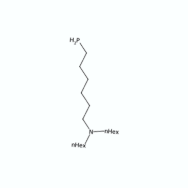 CCCCCCN(CCCCCC)CCCCCCP